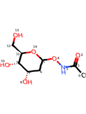 CC(=O)NOC1C[C@H](O)[C@H](O)[C@@H](CO)O1